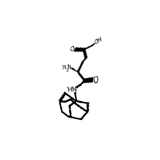 N[C@@H](CC(=O)O)C(=O)NC12CC3CC(CC(C3)C1)C2